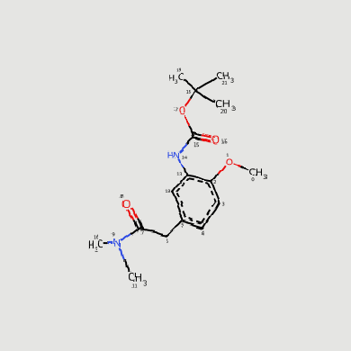 COc1ccc(CC(=O)N(C)C)cc1NC(=O)OC(C)(C)C